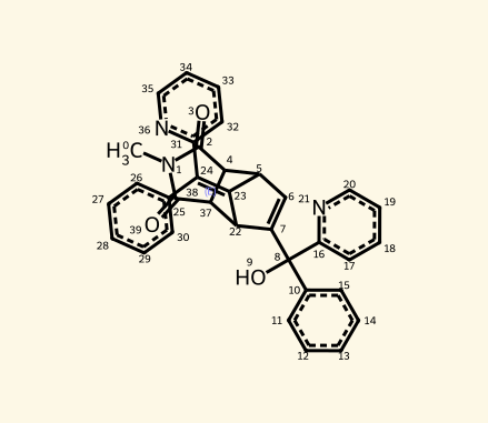 CN1C(=O)C2C3C=C(C(O)(c4ccccc4)c4ccccn4)C(/C3=C(\c3ccccc3)c3ccccn3)C2C1=O